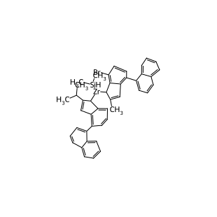 CC1=Cc2c(-c3cccc4ccccc34)ccc(Br)c2[CH]1[Zr]([CH]1C(C(C)C)=Cc2c(-c3cccc4ccccc34)cccc21)[SiH](C)C